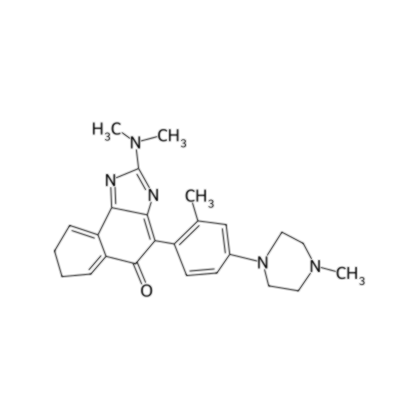 Cc1cc(N2CCN(C)CC2)ccc1C1=C2N=C(N(C)C)N=C2C2=CCCC=C2C1=O